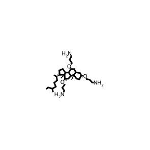 CCC(C)CCCC(C)[C@H]1CCC2C3C(C[C@H](OCCCN)[C@@]21C)[C@@]1(C)CC[C@@H](OCCCN)CC1C[C@H]3OCCCN